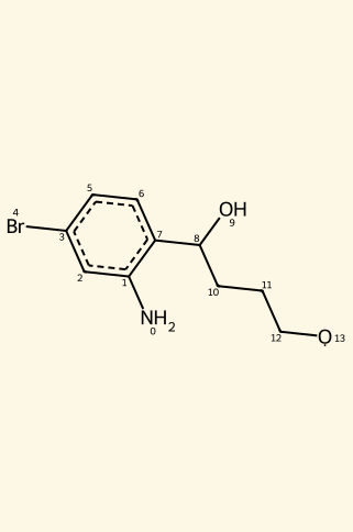 Nc1cc(Br)ccc1C(O)CCC[O]